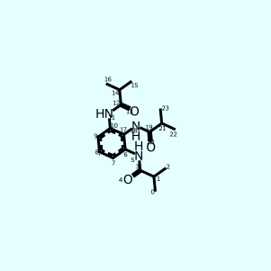 CC(C)C(=O)Nc1c[c]cc(NC(=O)C(C)C)c1NC(=O)C(C)C